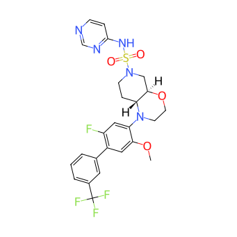 COc1cc(-c2cccc(C(F)(F)F)c2)c(F)cc1N1CCO[C@@H]2CN(S(=O)(=O)Nc3ccncn3)CC[C@H]21